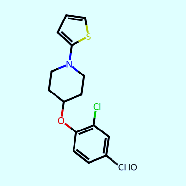 O=Cc1ccc(OC2CCN(c3cccs3)CC2)c(Cl)c1